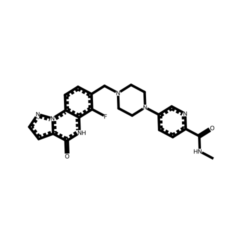 CNC(=O)c1ccc(N2CCN(Cc3ccc4c([nH]c(=O)c5ccnn54)c3F)CC2)cn1